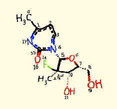 Cc1ccn([C@@H]2O[C@H](CO)[C@H](O)[C@@]2(C)F)c(=O)n1